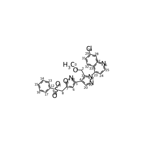 COCc1c(-c2cc(CS(=O)(=O)c3ccccc3)on2)cnn1-c1ccnc2cc(Cl)ccc12